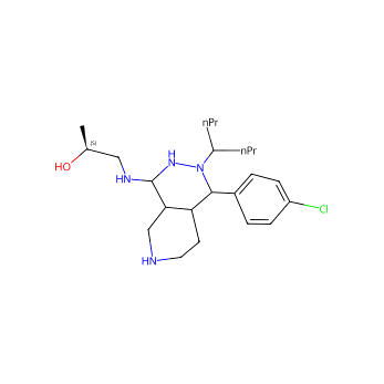 CCCC(CCC)N1NC(NC[C@H](C)O)C2CNCCC2C1c1ccc(Cl)cc1